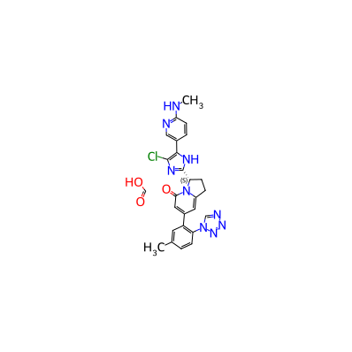 CNc1ccc(-c2[nH]c([C@@H]3CCc4cc(-c5cc(C)ccc5-n5cnnn5)cc(=O)n43)nc2Cl)cn1.O=CO